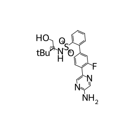 CC(C)(C)[C@@H](CO)NS(=O)(=O)c1ccccc1-c1ccc(-c2cnc(N)cn2)c(F)c1